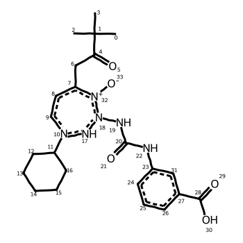 CC(C)(C)C(=O)Cc1ccn(C2CCCCC2)[nH]n(NC(=O)Nc2cccc(C(=O)O)c2)[n+]1[O-]